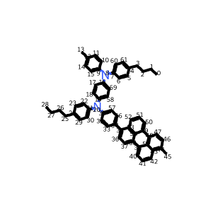 CCCCc1ccc(N(c2ccc(C)cc2)c2ccc(N(c3ccc(CCCC)cc3)c3ccc(-c4ccc5c6cccc7c(C)ccc(c8cccc4c85)c76)cc3)cc2)cc1